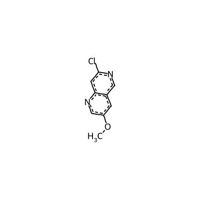 COc1cnc2cc(Cl)ncc2c1